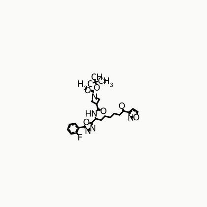 CC(C)(C)OC(=O)N1CC(C(=O)NC(CCCCCC(=O)c2ccon2)c2nnc(-c3ccccc3F)o2)C1